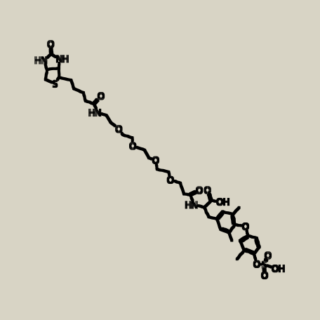 Cc1cc(Oc2c(C)cc(CC(NC(=O)CCOCCOCCOCCOCCNC(=O)CCCCC3SCC4NC(=O)NC43)C(=O)O)cc2C)ccc1OS(=O)(=O)O